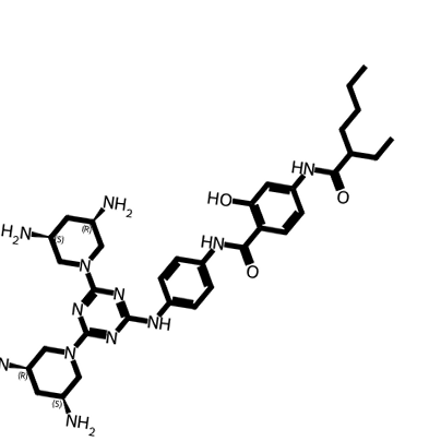 CCCCC(CC)C(=O)Nc1ccc(C(=O)Nc2ccc(Nc3nc(N4C[C@H](N)C[C@H](N)C4)nc(N4C[C@H](N)C[C@H](N)C4)n3)cc2)c(O)c1